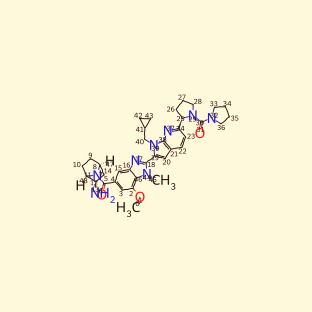 COc1cc(C(=O)N2[C@H]3CC[C@@H]2[C@H](N)C3)cc2nc(-c3cc4ccc([C@H]5CCCN5C(=O)N5CCCC5)nc4n3CC3CC3)n(C)c12